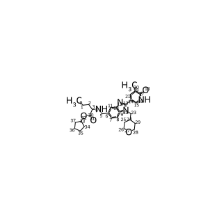 CCCC(NCc1ccc2c(c1)nc(-c1c[nH]c(=O)c(C)c1)n2CC1CCOCC1)C(=O)OC1CCCC1